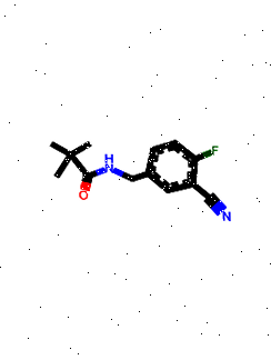 CC(C)(C)C(=O)NCc1ccc(F)c(C#N)c1